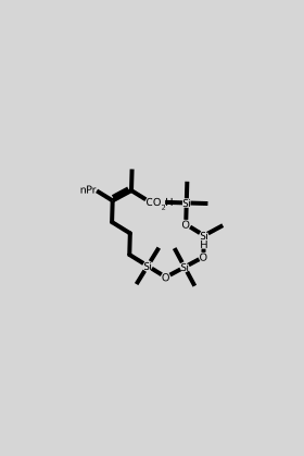 CCCC(CCC[Si](C)(C)O[Si](C)(C)O[SiH](C)O[Si](C)(C)C)=C(C)C(=O)O